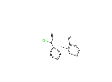 C=CC(Cl)c1ccccc1.C=Cc1ccccc1C